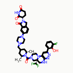 C[C@@H]1CC(CN2CCN(c3ccc4c(c3)C(=O)N([C@H]3CCC(=O)NC3=O)C4)CC2)C[C@H](C)N1C(=O)N1CCN2c3cc(-c4cccc(F)c4O)nnc3NC[C@@]2(C(F)F)C1